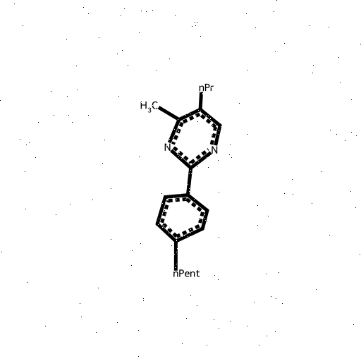 CCCCCc1ccc(-c2ncc(CCC)c(C)n2)cc1